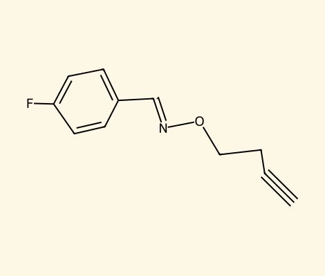 C#CCCON=[C]c1ccc(F)cc1